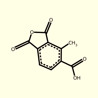 Cc1c(C(=O)O)ccc2c1C(=O)OC2=O